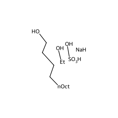 CCCCCCCCCCCCO.CCO.O=S(=O)(O)O.[NaH]